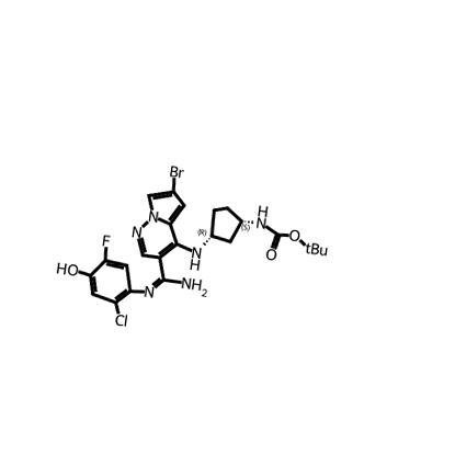 CC(C)(C)OC(=O)N[C@H]1CC[C@@H](Nc2c(C(N)=Nc3cc(F)c(O)cc3Cl)cnn3cc(Br)cc23)C1